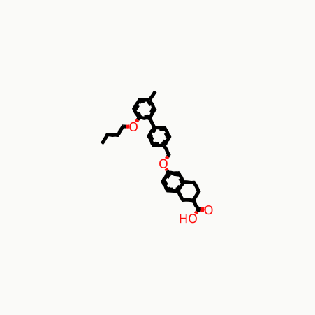 CCCCOc1ccc(C)cc1-c1ccc(COc2ccc3c(c2)CCC(C(=O)O)C3)cc1